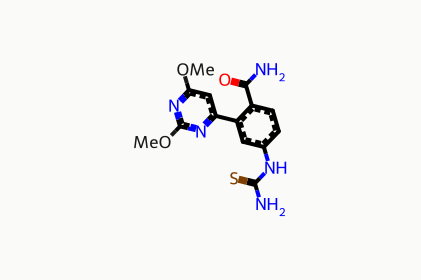 COc1cc(-c2cc(NC(N)=S)ccc2C(N)=O)nc(OC)n1